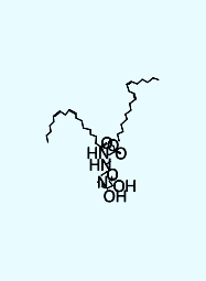 CCCCC/C=C\C/C=C\CCCCCCCCOC(=O)[C@H](CNC(=O)C[N+]1(C)C[C@@H](O)[C@@H](O)C1)NC(=O)CCCCCCC/C=C\C/C=C\CCCCC